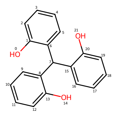 Oc1ccccc1C(c1ccccc1O)c1ccccc1O